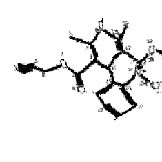 C#CCOC(=O)C1=C(C)NC(C)=C(C(=O)OC)C1c1ccccc1[N+](=O)[O-]